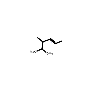 C/C=C/C(C)C(OC)OC